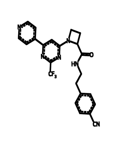 N#Cc1ccc(CCNC(=O)C2CCN2c2cc(-c3ccncc3)nc(C(F)(F)F)n2)cc1